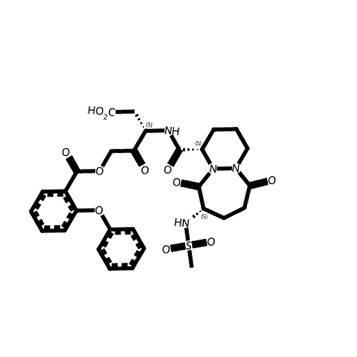 CS(=O)(=O)N[C@H]1CCC(=O)N2CCC[C@@H](C(=O)N[C@@H](CC(=O)O)C(=O)COC(=O)c3ccccc3Oc3ccccc3)N2C1=O